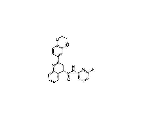 O=C(Nc1cccc(F)n1)c1cc(-c2ccc3c(c2)OCCO3)nc2ccccc12